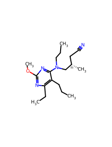 CCCc1c(CC)nc(OC)nc1N(CCC)C[C@@H](C)CC#N